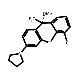 CO[C@@]1(C(F)(F)F)c2ccc(N3CCCC3)cc2Oc2c(Cl)cccc21